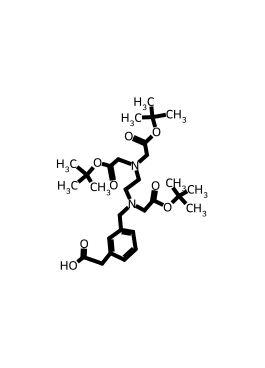 CC(C)(C)OC(=O)CN(CCN(CC(=O)OC(C)(C)C)Cc1cccc(CC(=O)O)c1)CC(=O)OC(C)(C)C